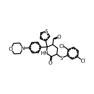 O=CC1CC(Sc2cc(Cl)ccc2Cl)C(=O)NC1(c1ccc(N2CCOCC2)cc1)c1ccsc1